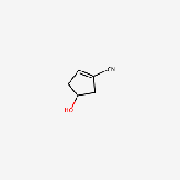 N#CC1=CCC(O)C1